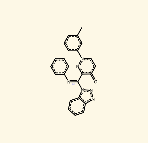 Cc1cccc(-n2ccc(=O)c(/C(=N\c3ccccc3)n3nnc4ccccc43)n2)c1